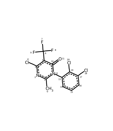 Cc1nc(Cl)c(C(F)(F)F)c(=O)n1-c1cccc(Cl)c1Cl